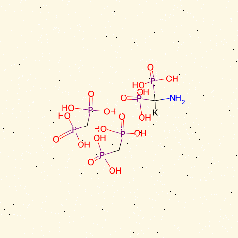 N[C]([K])(P(=O)(O)O)P(=O)(O)O.O=P(O)(O)CP(=O)(O)O.O=P(O)(O)CP(=O)(O)O